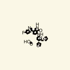 O=C1NCc2c(-c3cnc4cc(F)ccn34)ccc(Nc3ccc([C@@H]4CCOC4)c(CN4CCCC4)n3)c21.O=CO